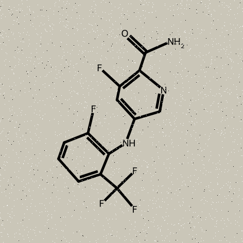 NC(=O)c1ncc(Nc2c(F)cccc2C(F)(F)F)cc1F